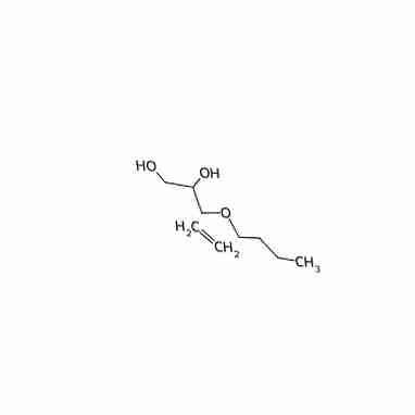 C=C.CCCCOCC(O)CO